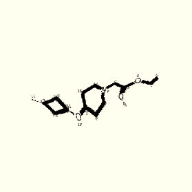 CCOC(=O)CN1CCC(O[C@H]2C[C@@H](C)C2)CC1